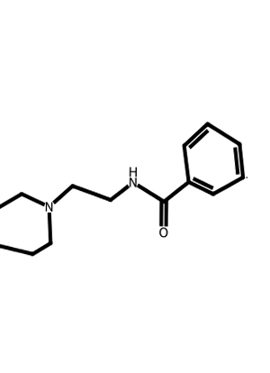 O=C(NCCN1CCOCC1)c1c[c]ccc1